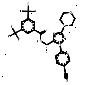 C[C@H](NC(=O)c1cc(C(F)(F)F)cc(C(F)(F)F)c1)c1nc(N2CCOCC2)nn1-c1ccc(C#N)cn1